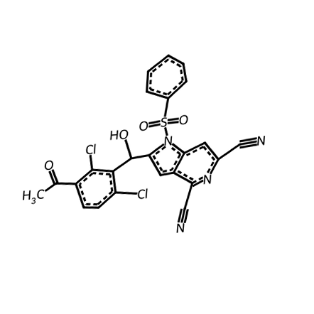 CC(=O)c1ccc(Cl)c(C(O)c2cc3c(C#N)nc(C#N)cc3n2S(=O)(=O)c2ccccc2)c1Cl